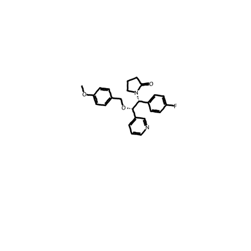 COc1ccc(CO[C@@H](c2cccnc2)[C@@H](c2ccc(F)cc2)N2CCCC2=O)cc1